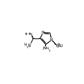 CC(C)(C)n1cnc(C(=N)N)c1N